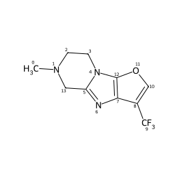 CN1CCn2c(nc3c(C(F)(F)F)coc32)C1